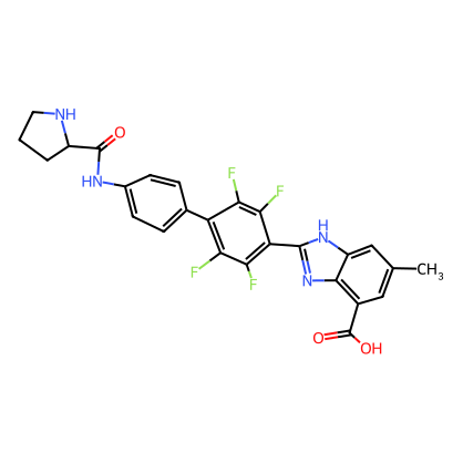 Cc1cc(C(=O)O)c2nc(-c3c(F)c(F)c(-c4ccc(NC(=O)C5CCCN5)cc4)c(F)c3F)[nH]c2c1